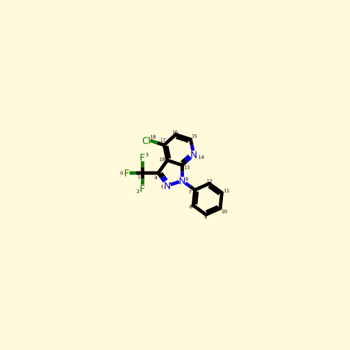 FC(F)(F)c1nn(-c2ccccc2)c2nccc(Cl)c12